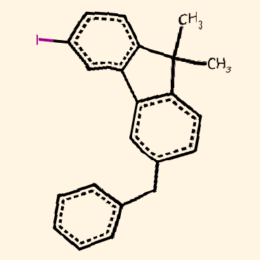 CC1(C)c2ccc(I)cc2-c2cc(Cc3ccccc3)ccc21